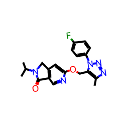 Cc1nnn(-c2ccc(F)cc2)c1COc1cc2c(cn1)C(=O)N(C(C)C)C2